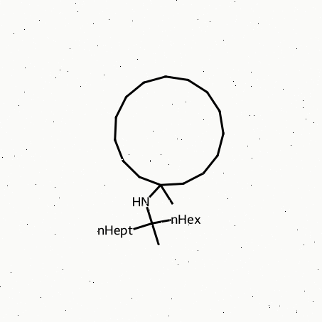 CCCCCCCC(C)(CCCCCC)NC1(C)CCCCCCCCCCCCCC1